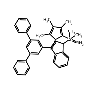 CC1=C(C)C(C)[C]([Zr]([CH3])([CH3])(=[SiH2])[CH]2C=C(c3cc(-c4ccccc4)cc(-c4ccccc4)c3)c3ccccc32)=C1C